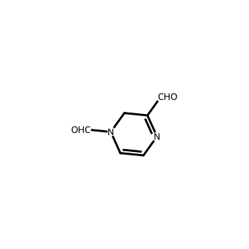 O=CC1=NC=CN(C=O)C1